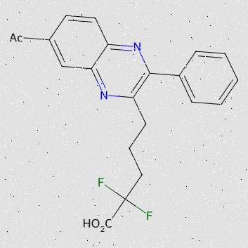 CC(=O)c1ccc2nc(-c3ccccc3)c(CCCC(F)(F)C(=O)O)nc2c1